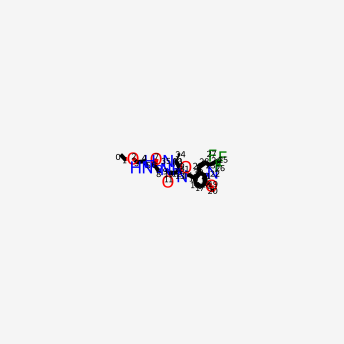 CCOCCNC(=O)CNC(=O)c1nc(-c2ccc(OC)c3nc(C(F)(F)F)ccc23)oc1[C@H](C)N